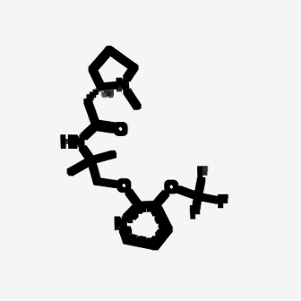 CN1CCC[C@H]1CC(=O)NC(C)(C)COc1ncccc1OC(F)(F)F